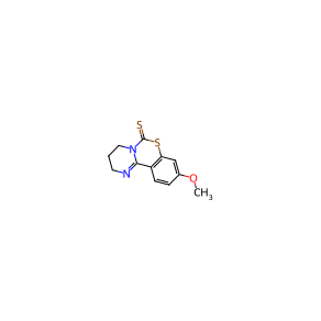 COc1ccc2c(c1)SC(=S)N1CCCN=C21